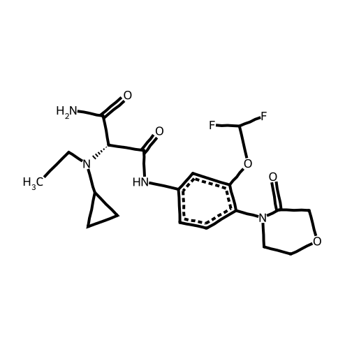 CCN(C1CC1)[C@H](C(N)=O)C(=O)Nc1ccc(N2CCOCC2=O)c(OC(F)F)c1